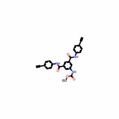 C#Cc1ccc(NC(=O)c2cc(NC(=O)OC(C)(C)C)cc(C(=O)Nc3ccc(C#C)cc3)c2)cc1